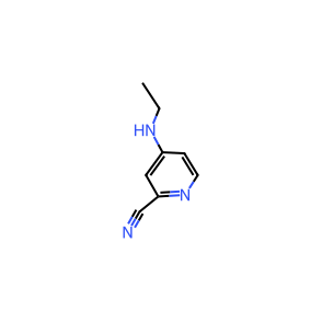 CCNc1ccnc(C#N)c1